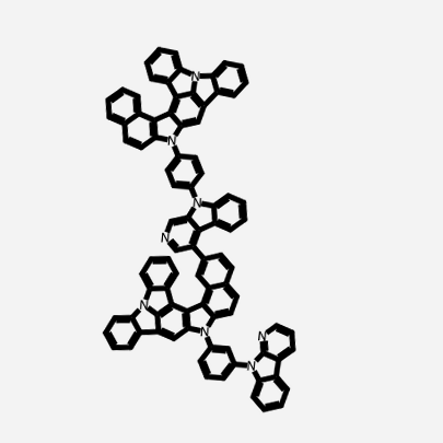 c1cc(-n2c3ccc4ccc(-c5cncc6c5c5ccccc5n6-c5ccc(-n6c7ccc8ccccc8c7c7c8c9ccccc9n9c%10ccccc%10c(cc76)c89)cc5)cc4c3c3c4c5ccccc5n5c6ccccc6c(cc32)c45)cc(-n2c3ccccc3c3cccnc32)c1